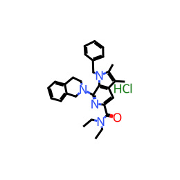 CCN(CC)C(=O)c1cc2c(C)c(C)n(Cc3ccccc3)c2c(N2CCc3ccccc3C2)n1.Cl